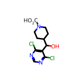 O=C(O)N1CCC(C(O)c2c(Cl)ncnc2Cl)CC1